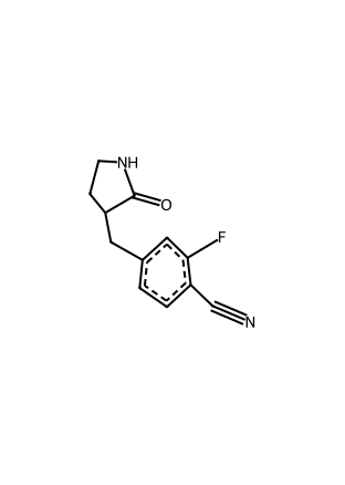 N#Cc1ccc(CC2CCNC2=O)cc1F